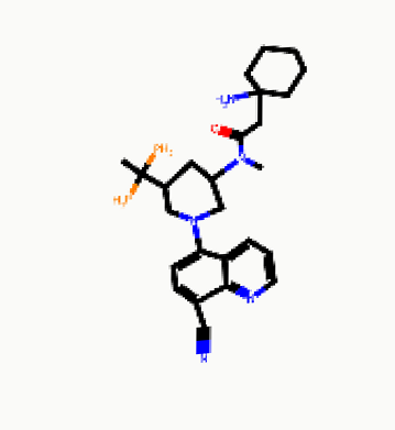 CN(C(=O)CC1(N)CCCCC1)C1CC(C(C)(P)P)CN(c2ccc(C#N)c3ncccc23)C1